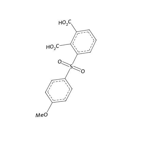 COc1ccc(S(=O)(=O)c2cccc(C(=O)O)c2C(=O)O)cc1